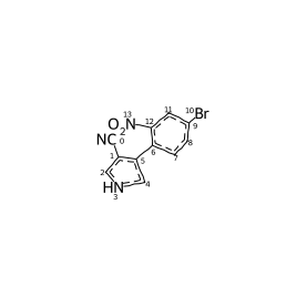 N#Cc1c[nH]cc1-c1ccc(Br)cc1[N+](=O)[O-]